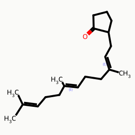 CC(C)=CCC/C(C)=C/CC/C(C)=C/CC1CCCC1=O